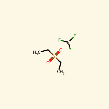 CCS(=O)(=O)CC.FB(F)F